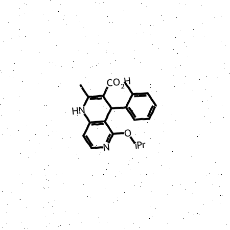 CC1=C(C(=O)O)C(c2ccccc2C)c2c(ccnc2OC(C)C)N1